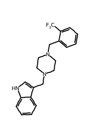 FC(F)(F)c1ccccc1CN1CCN(Cc2c[nH]c3ccccc23)CC1